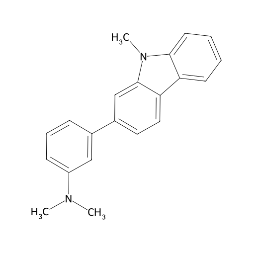 CN(C)c1cccc(-c2ccc3c4ccccc4n(C)c3c2)c1